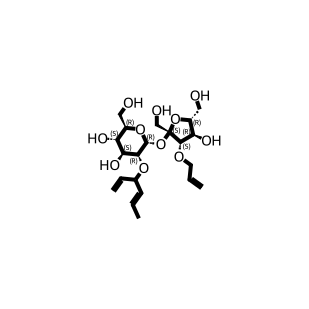 C=CCO[C@H]1[C@H](O)[C@@H](CO)O[C@@]1(CO)O[C@H]1O[C@H](CO)[C@@H](O)[C@H](O)[C@H]1OC(C=C)C=CC